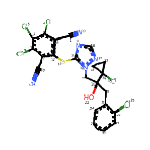 N#Cc1c(Cl)c(Cl)c(Cl)c(C#N)c1Sc1ncnn1CC(O)(Cc1ccccc1Cl)C1(Cl)CC1